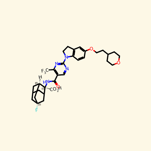 O=C(N[C@@]1(C(=O)O)C2CC3C[C@@H]1C[C@](F)(C3)C2)c1cnc(N2CCc3cc(OCCC4CCOCC4)ccc32)nc1C(F)(F)F